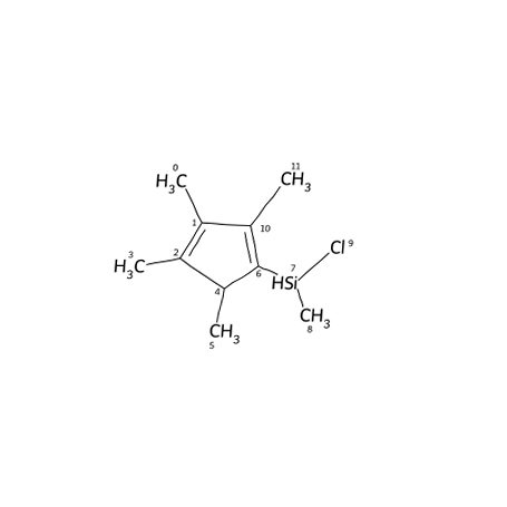 CC1=C(C)C(C)C([SiH](C)Cl)=C1C